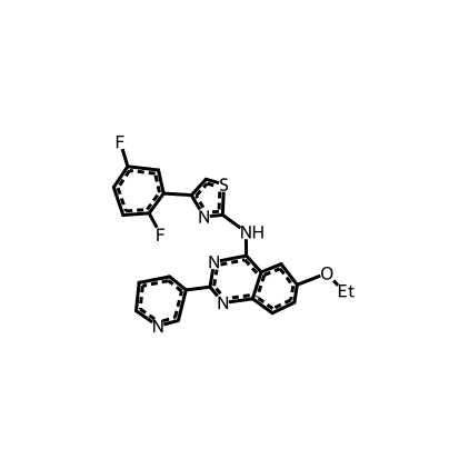 CCOc1ccc2nc(-c3cccnc3)nc(Nc3nc(-c4cc(F)ccc4F)cs3)c2c1